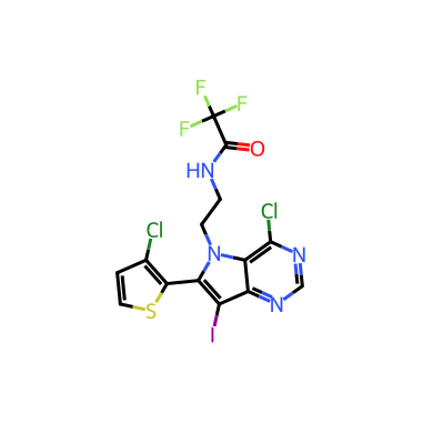 O=C(NCCn1c(-c2sccc2Cl)c(I)c2ncnc(Cl)c21)C(F)(F)F